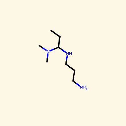 CCC(NCCCN)N(C)C